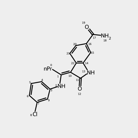 CCC/C(Nc1cccc(Cl)c1)=C1/C(=O)Nc2cc(C(N)=O)ccc21